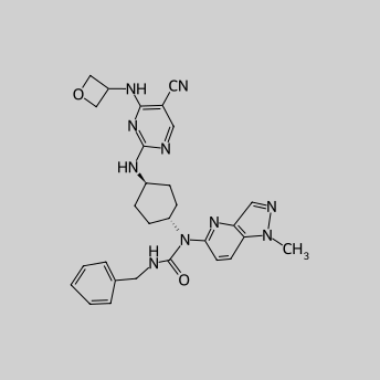 Cn1ncc2nc(N(C(=O)NCc3ccccc3)[C@H]3CC[C@H](Nc4ncc(C#N)c(NC5COC5)n4)CC3)ccc21